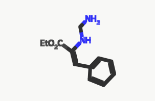 CCOC(=O)C(=Cc1ccccc1)NCN